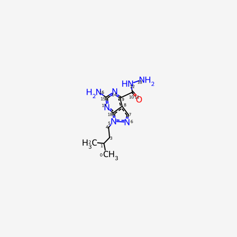 CC(C)CCn1ncc2c(C(=O)NN)nc(N)nc21